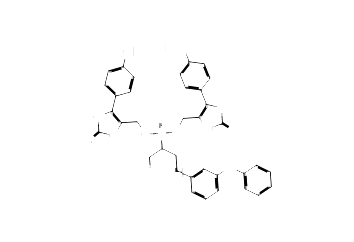 O=c1oc(COP(=O)(OCc2oc(=O)oc2-c2ccc(C(F)(F)F)cc2)C(CCc2cccc(Oc3ccccc3)c2)CS(=O)(=O)O)c(-c2ccc(C(F)(F)F)cc2)o1